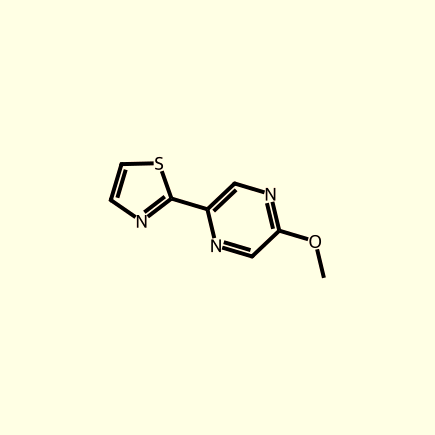 COc1cnc(-c2nccs2)cn1